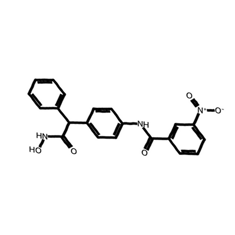 O=C(Nc1ccc(C(C(=O)NO)c2ccccc2)cc1)c1cccc([N+](=O)[O-])c1